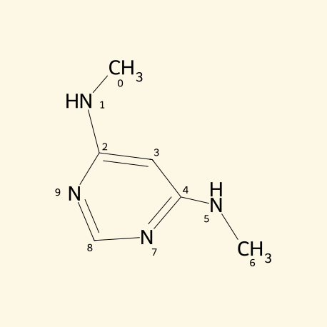 CNc1cc(NC)ncn1